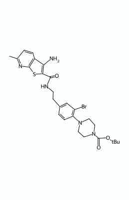 Cc1ccc2c(N)c(C(=O)NCCc3ccc(N4CCN(C(=O)OC(C)(C)C)CC4)c(Br)c3)sc2n1